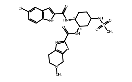 CN1CCc2nc(C(=O)N[C@@H]3CC(NS(C)(=O)=O)CC[C@@H]3NC(=O)c3cc4cc(Cl)ccc4[nH]3)sc2C1